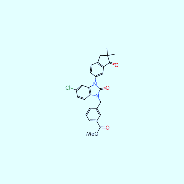 COC(=O)c1cccc(Cn2c(=O)n(-c3ccc4c(c3)C(=O)C(C)(C)C4)c3cc(Cl)ccc32)c1